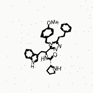 COc1ccc(Cn2c(CCc3ccccc3)nnc2C(Cc2c[nH]c3ccccc23)NC(=O)[C@H]2CCCN2)cc1